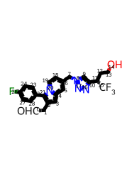 O=CCc1cc2cc(Cn3cc(C(CCO)C(F)(F)F)nn3)ccn2c1-c1ccc(F)cc1